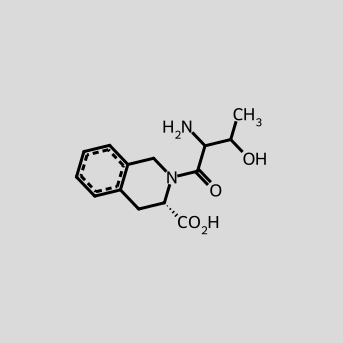 CC(O)C(N)C(=O)N1Cc2ccccc2C[C@H]1C(=O)O